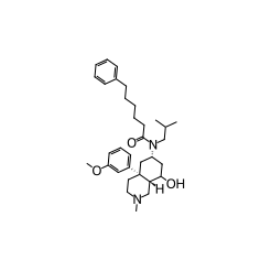 COc1cccc([C@@]23CCN(C)C[C@H]2C(O)C[C@@H](N(CC(C)C)C(=O)CCCCCc2ccccc2)C3)c1